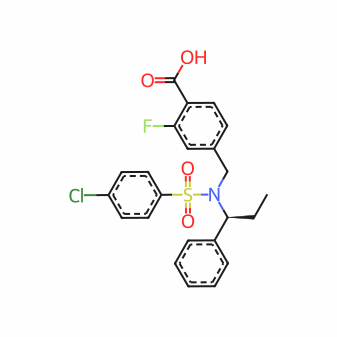 CC[C@@H](c1ccccc1)N(Cc1ccc(C(=O)O)c(F)c1)S(=O)(=O)c1ccc(Cl)cc1